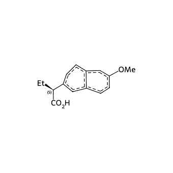 CC[C@H](C(=O)O)c1ccc2cc(OC)ccc2c1